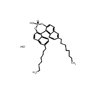 CCCCCCCCc1ccc2c3c(ccc2c1)OP(=O)(O)Oc1ccc2cc(CCCCCCCC)ccc2c1-3.Cl